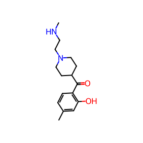 CNCCN1CCC(C(=O)c2ccc(C)cc2O)CC1